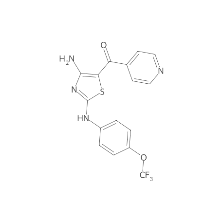 Nc1nc(Nc2ccc(OC(F)(F)F)cc2)sc1C(=O)c1ccncc1